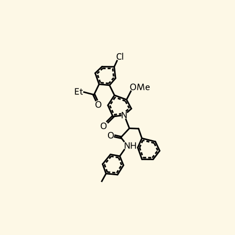 CCC(=O)c1ccc(Cl)cc1-c1cc(=O)n(C(Cc2ccccc2)C(=O)Nc2ccc(C)cc2)cc1OC